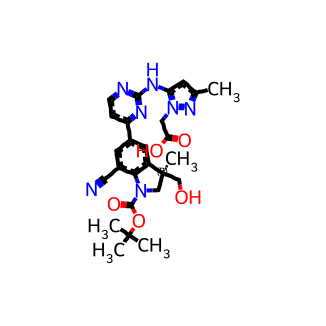 Cc1cc(Nc2nccc(-c3cc(C#N)c4c(c3)[C@@](C)(CO)CN4C(=O)OC(C)(C)C)n2)n(CC(=O)O)n1